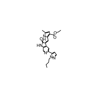 CCCCn1nccc1-c1cc2c(cn1)NC(=O)/C2=C\c1[nH]c(C)cc1C(=O)OCC